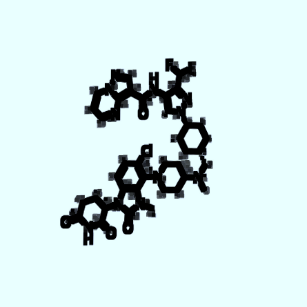 CN(C[C@H]1CC[C@H](n2cc(NC(=O)c3cnn4cccnc34)c(C(F)F)n2)CC1)C1CCN(c2c(Cl)ccc3c2n(C)c(=O)n3C2CCC(=O)NC2=O)CC1